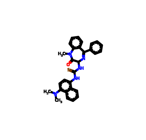 CN(C)c1ccc(NC(=S)NC2N=C(c3ccccc3)c3ccccc3N(C)C2=O)c2ccccc12